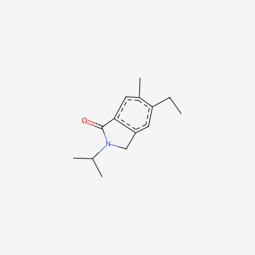 CCc1cc2c(cc1C)C(=O)N(C(C)C)C2